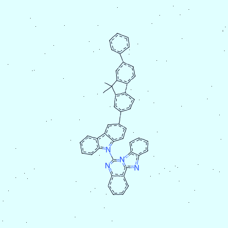 CC1(C)c2cc(-c3ccccc3)ccc2-c2ccc(-c3ccc4c(c3)c3ccccc3n4-c3nc4ccccc4c4nc5ccccc5n34)cc21